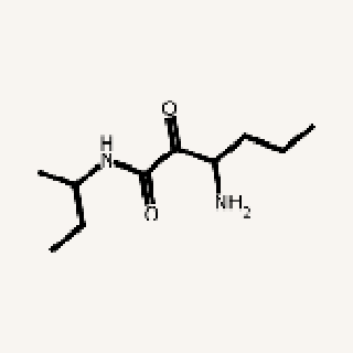 CCCC(N)C(=O)C(=O)NC(C)CC